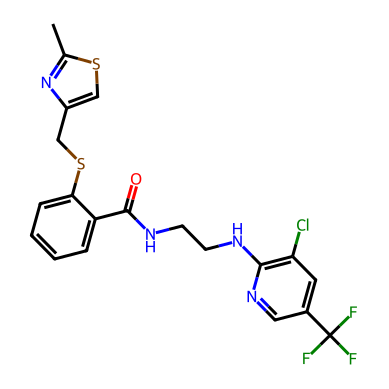 Cc1nc(CSc2ccccc2C(=O)NCCNc2ncc(C(F)(F)F)cc2Cl)cs1